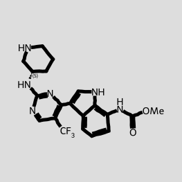 COC(=O)Nc1cccc2c(-c3nc(N[C@H]4CCCNC4)ncc3C(F)(F)F)c[nH]c12